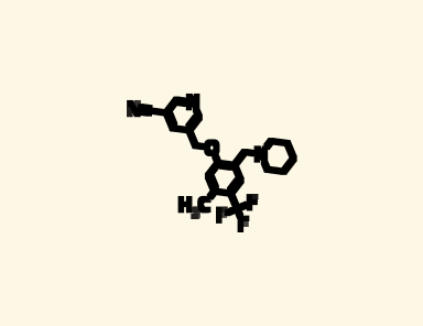 Cc1cc(OCc2cncc(C#N)c2)c(CN2CCCCC2)cc1C(F)(F)F